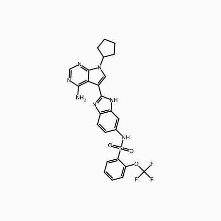 Nc1ncnc2c1c(-c1nc3ccc(NS(=O)(=O)c4ccccc4OC(F)(F)F)cc3[nH]1)cn2C1CCCC1